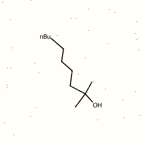 [CH2]C(C)(O)CCCCCCCC